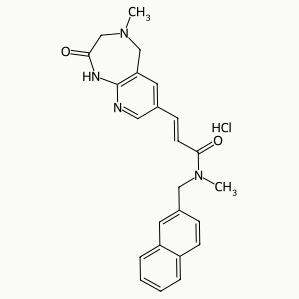 CN1CC(=O)Nc2ncc(/C=C/C(=O)N(C)Cc3ccc4ccccc4c3)cc2C1.Cl